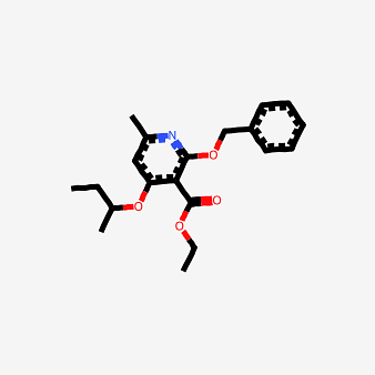 CCOC(=O)c1c(OC(C)CC)cc(C)nc1OCc1ccccc1